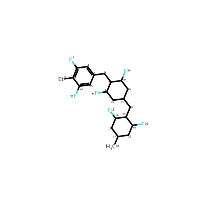 CCc1c(F)cc(CC2C(F)CC(CC3C(F)CC(C)CC3F)CC2F)cc1F